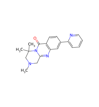 CN1Cc2nc3cc(-c4ccccn4)ccc3c(=O)n2C(C)(C)C1